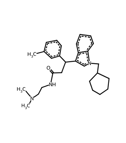 Cc1cccc(C(CC(=O)NCCN(C)C)c2cn(CC3CCCCC3)c3ccccc23)c1